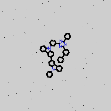 c1ccc(-c2cccc(-c3nc(-c4ccccc4)nc(-c4cccc(-n5c6ccccc6c6cc(-c7ccc8c(c7)c7ccccc7n8-c7ccccc7)ccc65)c4)n3)c2)cc1